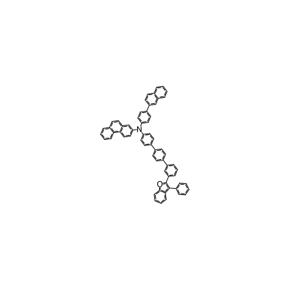 c1ccc(-c2c(-c3cccc(-c4ccc(-c5ccc(N(c6ccc(-c7ccc8ccccc8c7)cc6)c6ccc7c(ccc8ccccc87)c6)cc5)cc4)c3)oc3ccccc23)cc1